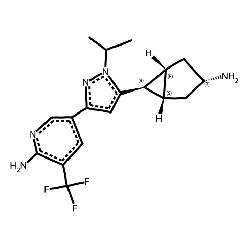 CC(C)n1nc(-c2cnc(N)c(C(F)(F)F)c2)cc1[C@H]1[C@@H]2C[C@H](N)C[C@@H]21